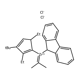 CCC1=[C]([Zr+2](=[C](C)C)[CH]2c3ccccc3-c3ccccc32)C(CC)C=C1C(C)(C)C.[Cl-].[Cl-]